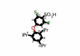 CC(C)c1cc(C(C)C)c(Oc2cc(F)c(S(=O)(=O)O)c(F)c2)c(C(C)C)c1